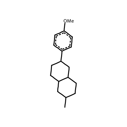 COc1ccc(C2CCC3CC(C)CCC3C2)cc1